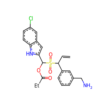 C=CC(c1cccc(CN)c1)S(=O)(=O)C(OC(=O)CC)c1cc2cc(Cl)ccc2[nH]1